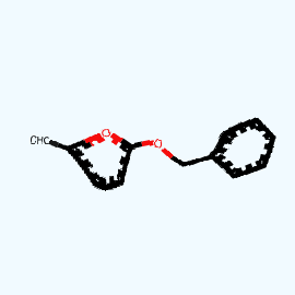 O=Cc1ccc(OCc2ccccc2)o1